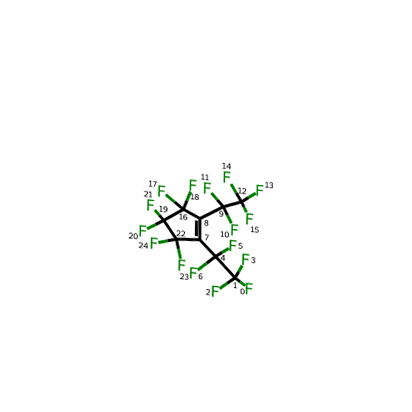 FC(F)(F)C(F)(F)C1=C(C(F)(F)C(F)(F)F)C(F)(F)C(F)(F)C1(F)F